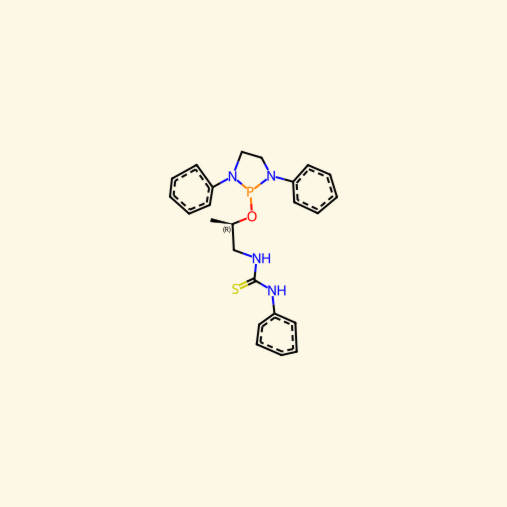 C[C@H](CNC(=S)Nc1ccccc1)OP1N(c2ccccc2)CCN1c1ccccc1